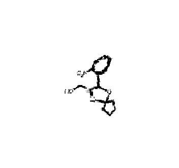 O=[N+]([O-])c1ccccc1C1OC2(CCCC2)O[C@H]1CO